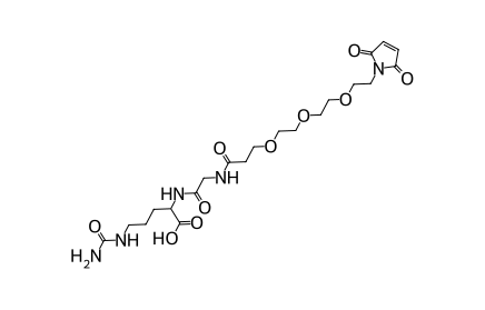 NC(=O)NCCCC(NC(=O)CNC(=O)CCOCCOCCOCCN1C(=O)C=CC1=O)C(=O)O